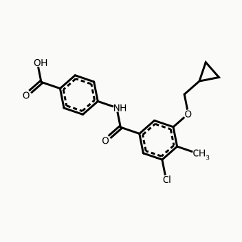 Cc1c(Cl)cc(C(=O)Nc2ccc(C(=O)O)cc2)cc1OCC1CC1